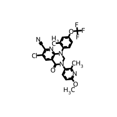 COc1ccc(N2CN(c3ccc(OC(F)(F)F)cc3C)c3nc(C#N)c(Cl)cc3C2=O)c(C)n1